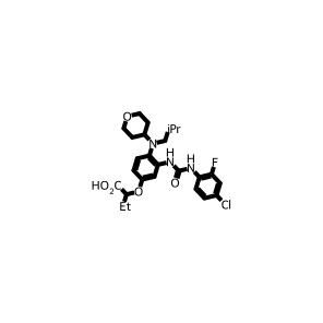 CCC(Oc1ccc(N(CC(C)C)C2CCOCC2)c(NC(=O)Nc2ccc(Cl)cc2F)c1)C(=O)O